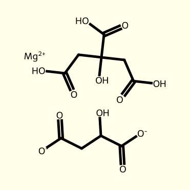 O=C(O)CC(O)(CC(=O)O)C(=O)O.O=C([O-])CC(O)C(=O)[O-].[Mg+2]